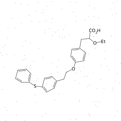 CCOC(Cc1ccc(OCCc2ccc(Sc3ccccc3)cc2)cc1)C(=O)O